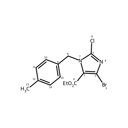 CCOC(=O)c1c(Br)nc(Cl)n1Cc1ccc(C)cc1